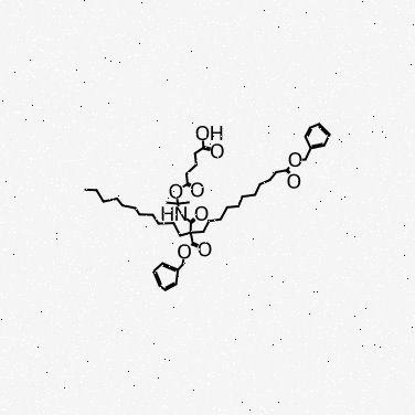 CCCCCCCCCCCC(CCCCCCCCCCC(=O)OCc1ccccc1)(C(=O)NC(C)(C)OC(=O)CCCC(=O)O)C(=O)OCc1ccccc1